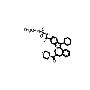 CN(O)S(=O)(=O)NC(=O)c1ccc2c(C3CCCCC3)c3n(c2c1)CC(C(=O)N1CCOCC1)=Cc1ccccc1-3